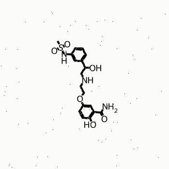 CS(=O)(=O)Nc1cccc(C(O)CNCCOc2ccc(O)c(C(N)=O)c2)c1